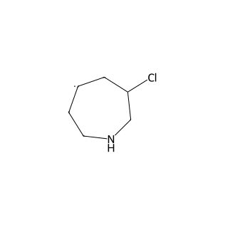 ClC1C[CH]CCNC1